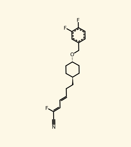 N#CC(F)=CC=CCC[C@H]1CC[C@H](OCc2ccc(F)c(F)c2)CC1